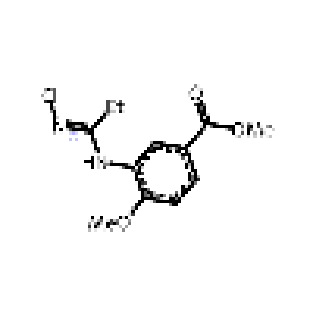 CC/C(=N\Cl)Nc1cc(C(=O)OC)ccc1OC